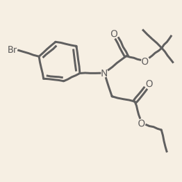 CCOC(=O)CN(C(=O)OC(C)(C)C)c1ccc(Br)cc1